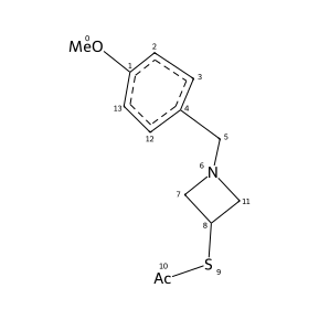 COc1ccc(CN2CC(SC(C)=O)C2)cc1